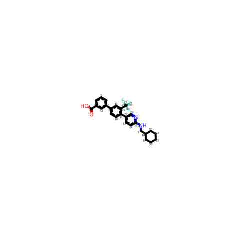 O=C(O)c1cccc(-c2ccc(-c3ccc(NCC4CCCCC4)nc3)c(C(F)(F)F)c2)c1